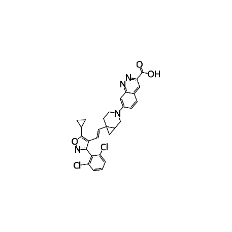 O=C(O)c1cc2ccc(N3CCC4(/C=C/c5c(-c6c(Cl)cccc6Cl)noc5C5CC5)CC4C3)cc2nn1